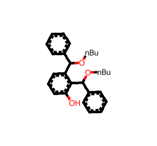 CCCCOC(c1ccccc1)c1cccc(O)c1C(OCCCC)c1ccccc1